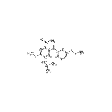 CCc1nc(C(N)=O)c(Nc2cccc(CCN)c2)nc1NC(C)C